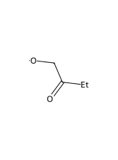 CCC(=O)C[O]